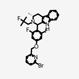 C[C@@H]1Cc2c([nH]c3ccccc23)C(c2c(F)cc(OCc3cccc(Br)n3)cc2F)N1CC(C)(C)F